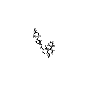 CCN(CCn1ccc(-c2ccc(F)cn2)n1)C(=O)c1cc(F)ccc1-n1nccn1